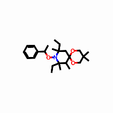 CCC1(C)CC2(OCC(C)(C)CO2)C(C)C(C)(CC)N1OC(C)c1ccccc1